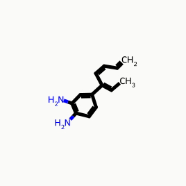 C=C/C=C\C(=C/C)c1ccc(N)c(N)c1